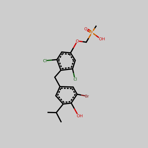 CC(C)c1cc(Cc2c(Cl)cc(OCP(C)(=O)O)cc2Cl)cc(Br)c1O